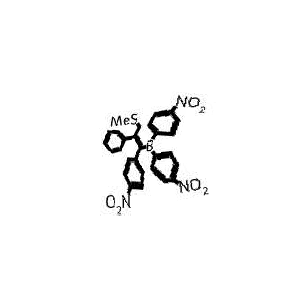 CSC/C(=C(\B(c1ccc([N+](=O)[O-])cc1)c1ccc([N+](=O)[O-])cc1)c1ccc([N+](=O)[O-])cc1)c1ccccc1